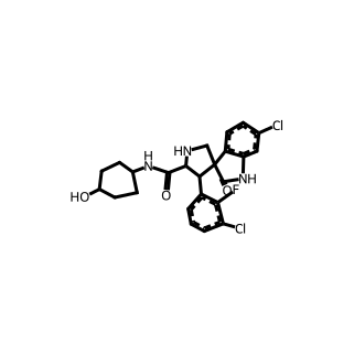 O=C(NC1CCC(O)CC1)C1NCC2(C(=O)Nc3cc(Cl)ccc32)C1c1cccc(Cl)c1F